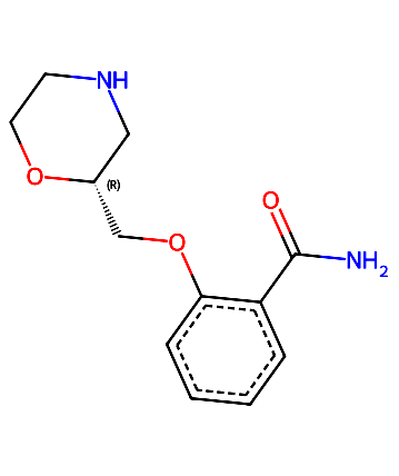 NC(=O)c1ccccc1OC[C@H]1CNCCO1